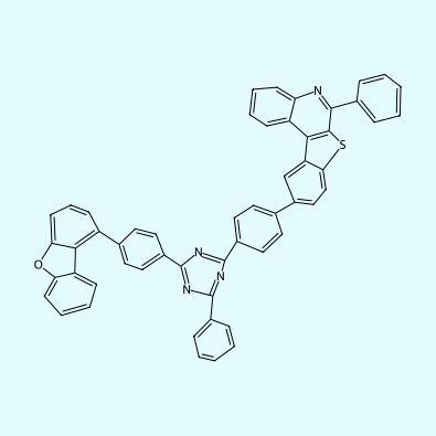 c1ccc(-c2nc(-c3ccc(-c4ccc5sc6c(-c7ccccc7)nc7ccccc7c6c5c4)cc3)nc(-c3ccc(-c4cccc5oc6ccccc6c45)cc3)n2)cc1